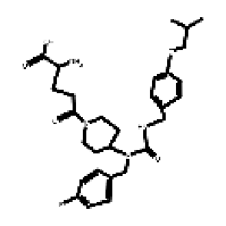 CC(C)COc1ccc(CNC(=O)N(Cc2ccc(F)cc2)C2CCN(C(=O)CCC(N)C(=O)O)CC2)cc1